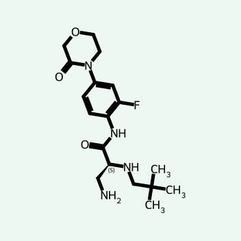 CC(C)(C)CN[C@@H](CN)C(=O)Nc1ccc(N2CCOCC2=O)cc1F